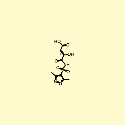 Cc1noc(C)c1S(=O)(=O)NC(=O)/C(O)=C/C(=O)O